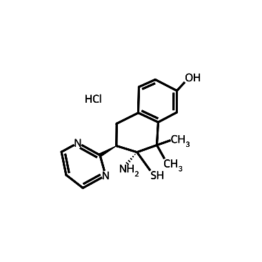 CC1(C)c2cc(O)ccc2C[C@H](c2ncccn2)[C@]1(N)S.Cl